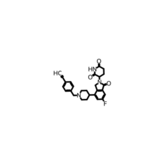 C#Cc1ccc(CN2CCC(c3cc(F)cc4c3CN(C3CCC(=O)NC3=O)C4=O)CC2)cc1